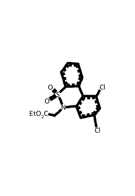 CCOC(=O)CN1c2cc(Cl)cc(Cl)c2-c2ccccc2S1(=O)=O